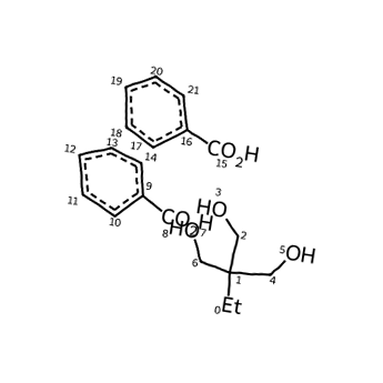 CCC(CO)(CO)CO.O=C(O)c1ccccc1.O=C(O)c1ccccc1